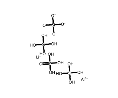 O=P(O)(O)O.O[Si](O)(O)O.O[Si](O)(O)O.[Al+3].[Li+].[O-][Si]([O-])([O-])[O-]